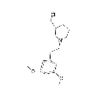 COc1cc(CCN2CCCC(CCl)C2)cc(OC)c1